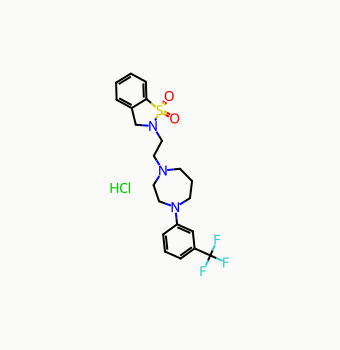 Cl.O=S1(=O)c2ccccc2CN1CCN1CCCN(c2cccc(C(F)(F)F)c2)CC1